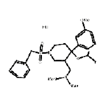 CNN(CC1CN(S(=O)(=O)Cc2ccccc2)CCC1(OC(F)F)c1cccc(OC)c1)NC.Cl